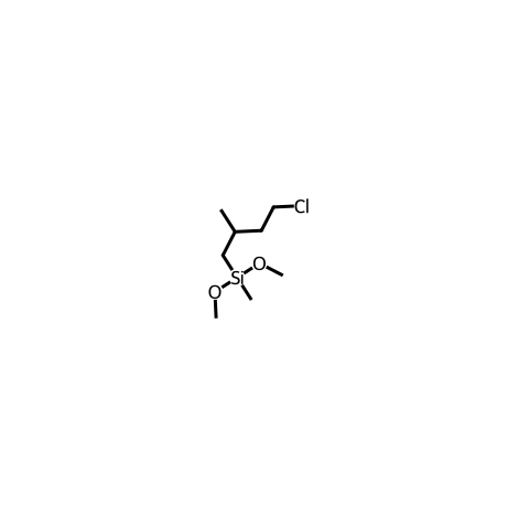 CO[Si](C)(CC(C)CCCl)OC